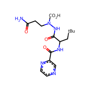 CC(C)(C)CC(NC(=O)c1cnccn1)C(=O)NN(CCC(N)=O)C(=O)O